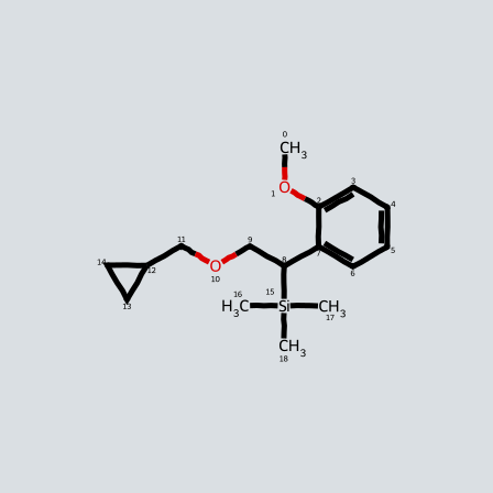 COc1ccccc1C(CO[CH]C1CC1)[Si](C)(C)C